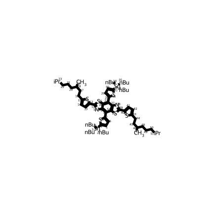 CCC[CH2][Sn]([CH2]CCC)([CH2]CCC)[c]1ccc(-c2c3nc(-c4ccc(CCC(C)CCCC(C)C)s4)sc3c(-c3cc[c]([Sn]([CH2]CCC)([CH2]CCC)[CH2]CCC)s3)c3nc(-c4ccc(CCC(C)CCCC(C)C)s4)sc23)s1